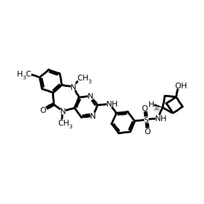 Cc1ccc2c(c1)C(=O)N(C)c1cnc(Nc3cccc(S(=O)(=O)N[C@@H]4CC5(O)CC4C5)c3)nc1N2C